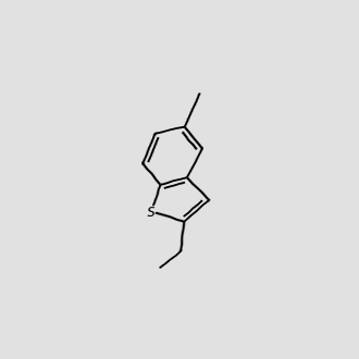 CCc1cc2cc(C)ccc2s1